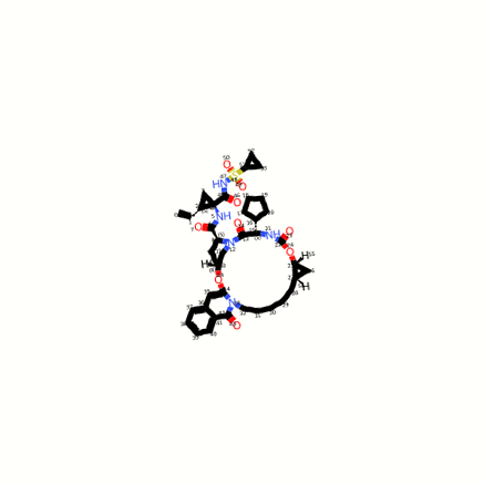 C=C[C@@H]1C[C@]1(NC(=O)[C@@H]1C[C@@H]2CN1C(=O)[C@H](C1CCCC1)NC(=O)O[C@@H]1C[C@H]1CCCCCn1c(cc3ccccc3c1=O)O2)C(=O)NS(=O)(=O)C1CC1